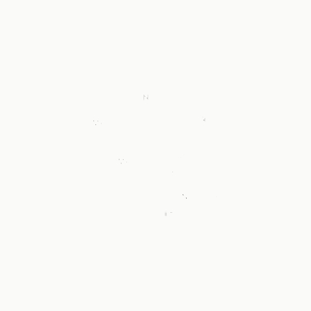 COc1ncc(Br)c(OC(=O)N(C(C)C)C(C)C)c1OC